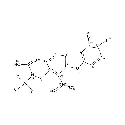 CC(C)(C)N(Cc1cccc(Oc2ccc(F)c(Cl)c2)c1[N+](=O)[O-])C(=O)O